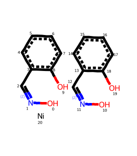 O/N=C\c1ccccc1O.O/N=C\c1ccccc1O.[Ni]